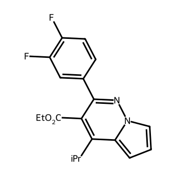 CCOC(=O)c1c(-c2ccc(F)c(F)c2)nn2cccc2c1C(C)C